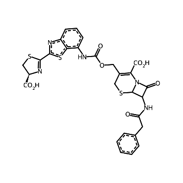 O=C(Cc1ccccc1)NC1C(=O)N2C(C(=O)O)=C(COC(=O)Nc3cccc4nc(C5=N[C@@H](C(=O)O)CS5)sc34)CSC12